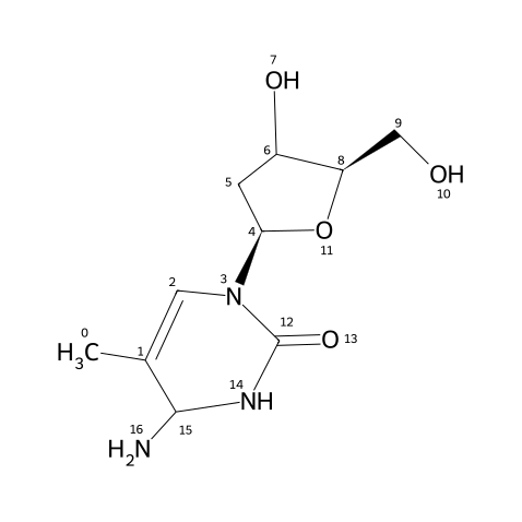 CC1=CN([C@H]2CC(O)[C@@H](CO)O2)C(=O)NC1N